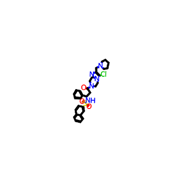 O=C(CC(NS(=O)(=O)c1ccc2ccccc2c1)c1ccccc1)N1CCn2c(nc(CN3CCCCC3)c2Cl)C1